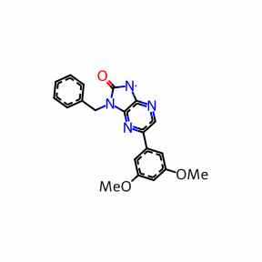 COc1cc(OC)cc(-c2cnc3c(n2)N(Cc2ccccc2)C(=O)[N]3)c1